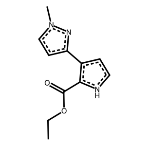 CCOC(=O)c1[nH]ccc1-c1ccn(C)n1